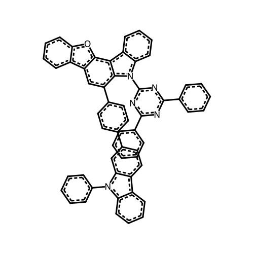 c1ccc(-c2nc(-c3ccccc3)nc(-n3c4ccccc4c4c5oc6ccccc6c5cc(-c5ccc(-c6ccc7c8ccccc8n(-c8ccccc8)c7c6)cc5)c43)n2)cc1